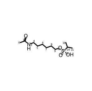 CC(=O)NCCCCCCOP(=O)(O)C(C)C